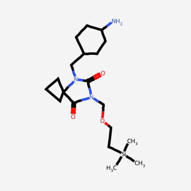 C[Si](C)(C)CCOCN1C(=O)N(CC2CCC(N)CC2)C2(CCC2)C1=O